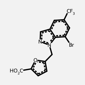 O=C(O)c1ccc(Cn2ncc3cc(C(F)(F)F)cc(Br)c32)o1